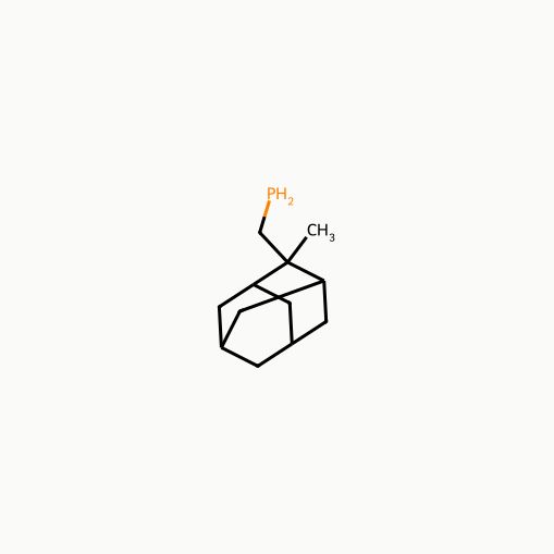 CC1(CP)C2CC3CC(C2)CC1C3